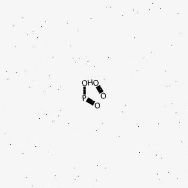 O=O.O=PO